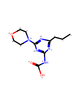 CCCc1nc(NC(=O)O)nc(N2CCOCC2)n1